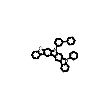 c1ccc(-c2cccc(-n3c4cc5oc6ccccc6c5cc4c4cc5c6ccccc6n(-c6ccccc6)c5cc43)c2)cc1